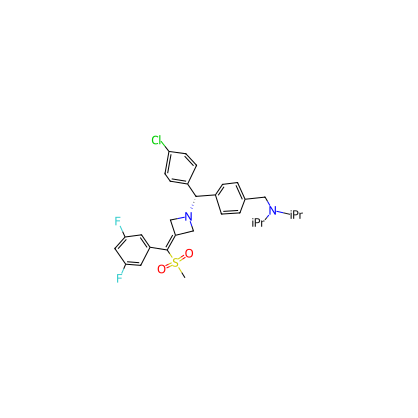 CC(C)N(Cc1ccc([C@@H](c2ccc(Cl)cc2)N2CC(=C(c3cc(F)cc(F)c3)S(C)(=O)=O)C2)cc1)C(C)C